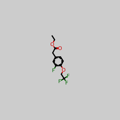 CCOC(=O)Cc1ccc(OCC(F)(F)F)c(F)c1